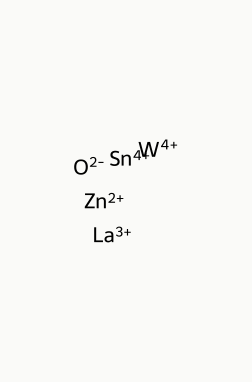 [La+3].[O-2].[Sn+4].[W+4].[Zn+2]